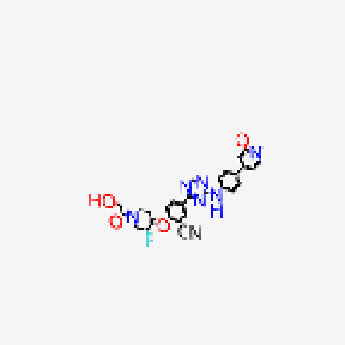 Cn1ccc(-c2ccc(Nc3ncnc(-c4ccc(O[C@H]5CCN(C(=O)CO)CC5F)c(C#N)c4)n3)cc2)cc1=O